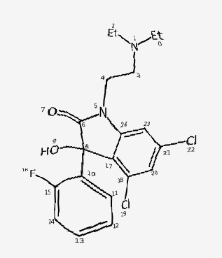 CCN(CC)CCN1C(=O)C(O)(c2ccccc2F)c2c(Cl)cc(Cl)cc21